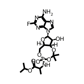 CC(C)OC(=O)C(C)N[P]1(O)OC[C@H]2O[C@@H](n3cnc4c(N)nc(F)nc43)[C@@H](O)[C@@H]2OC(C)(C)O1